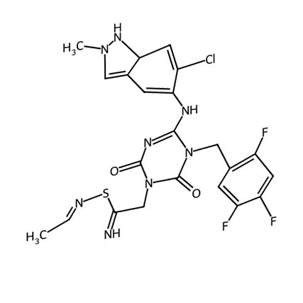 C/C=N/SC(=N)Cn1c(=O)nc(NC2=CC3=CN(C)NC3C=C2Cl)n(Cc2cc(F)c(F)cc2F)c1=O